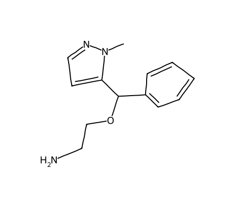 Cn1nccc1C(OCCN)c1ccccc1